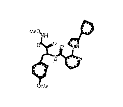 CONC(=O)C(=O)C(Cc1ccc(OC)cc1)NC(=O)c1cccnc1-n1ccc(-c2ccccc2)n1